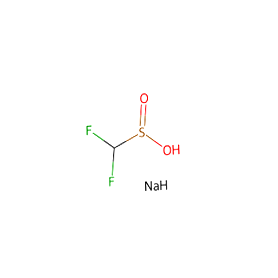 O=S(O)C(F)F.[NaH]